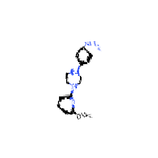 COc1cccc(N2CCN(c3ccc(N)cc3)CC2)n1